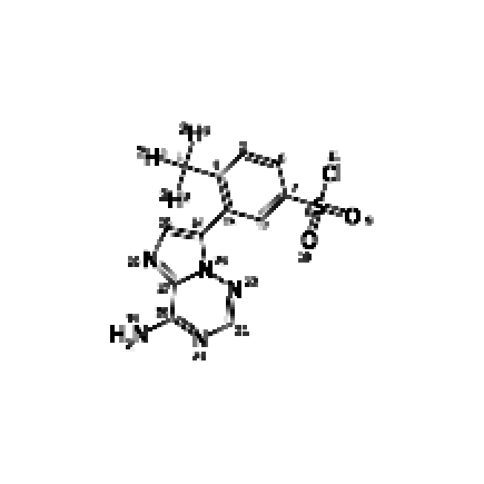 [2H]C([2H])([2H])c1ccc(S(=O)(=O)Cl)cc1-c1cnc2c(N)ncnn12